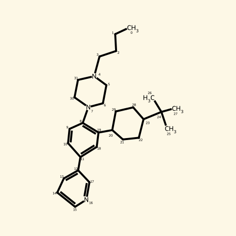 CCCCN1CCN(c2ccc(-c3cccnc3)cc2C2CCC(C(C)(C)C)CC2)CC1